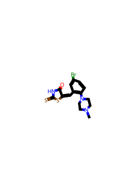 CN1CCN(c2ccc(Br)cc2C=C2SC(=S)NC2=O)CC1